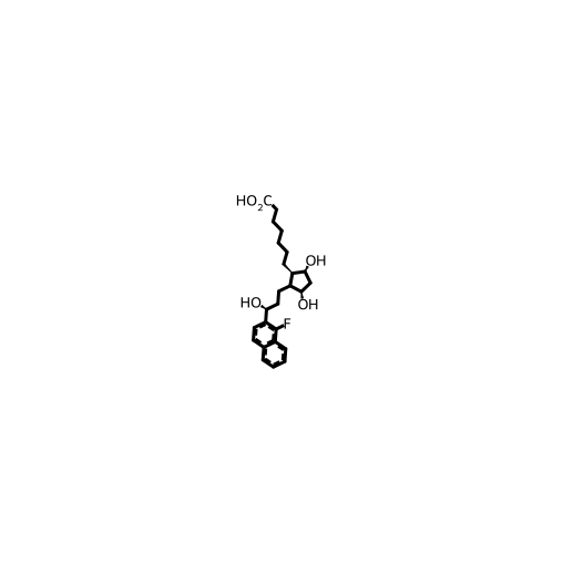 O=C(O)CCCCCC[C@@H]1C(CC[C@H](O)c2ccc3ccccc3c2F)[C@H](O)C[C@@H]1O